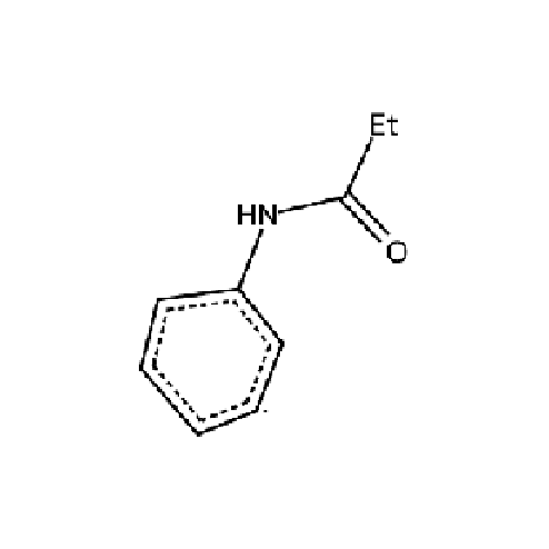 CCC(=O)Nc1c[c]ccc1